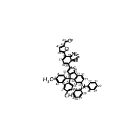 Cc1ccc(C2(c3ccc(C)cc3)c3cc(N(c4ccccc4)c4ccccc4)ccc3-c3sc(-c4ccc(-c5ccc(C=O)o5)c5nsnc45)cc32)cc1